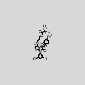 CC(C)C(=O)OCCCS(=O)(=O)c1cnc2n1[C@](C)(Cc1ccc(Br)cc1)C(=O)N2c1cc(Cl)cc(Cl)c1